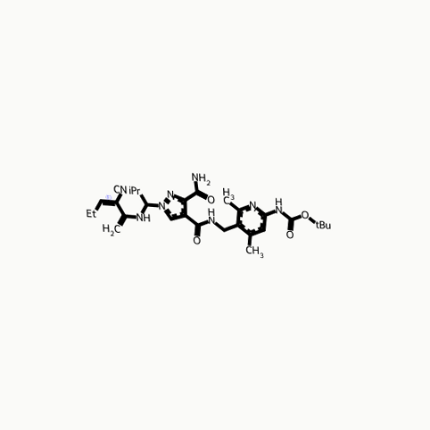 C=C(NC(C(C)C)n1cc(C(=O)NCc2c(C)cc(NC(=O)OC(C)(C)C)nc2C)c(C(N)=O)n1)/C(C#N)=C\CC